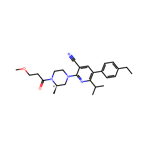 CCc1ccc(-c2cc(C#N)c(N3CCN(C(=O)CCOC)[C@H](C)C3)nc2C(C)C)cc1